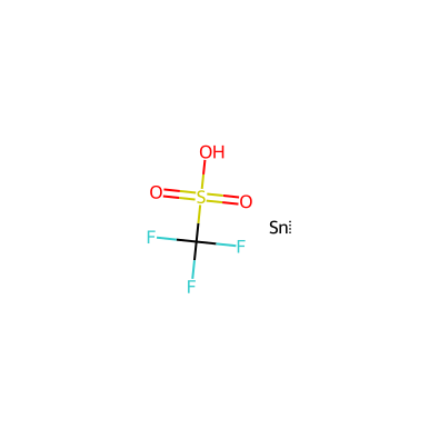 O=S(=O)(O)C(F)(F)F.[Sn]